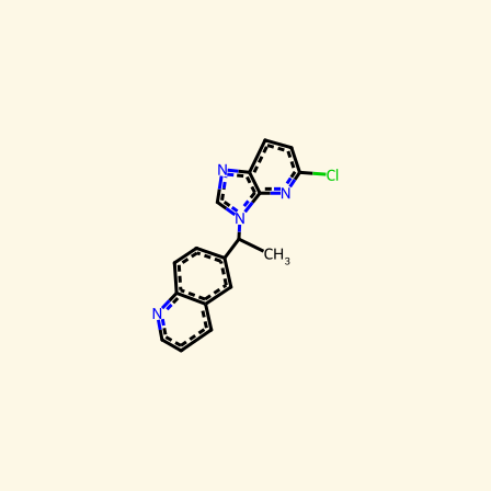 CC(c1ccc2ncccc2c1)n1cnc2ccc(Cl)nc21